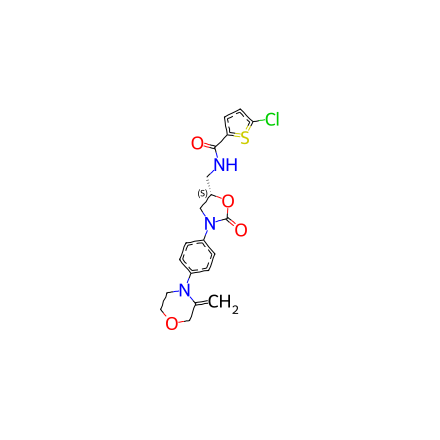 C=C1COCCN1c1ccc(N2C[C@H](CNC(=O)c3ccc(Cl)s3)OC2=O)cc1